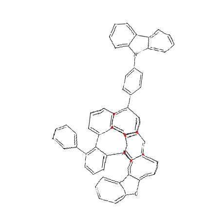 c1ccc(-c2ccccc2-c2c(-c3ccccc3)cccc2N(c2ccc(-c3ccc(-n4c5ccccc5c5ccccc54)cc3)cc2)c2cccc3oc4ccccc4c23)cc1